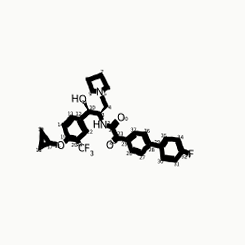 O=C(N[C@H](CN1CCCC1)[C@H](O)c1ccc(OC2CC2)c(C(F)(F)F)c1)C(=O)c1ccc(-c2ccc(F)cc2)cc1